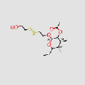 CCC1O[C@@H](OCCSSCCO)C(OC(C)=O)[C@@H](C)[C@@H]1C